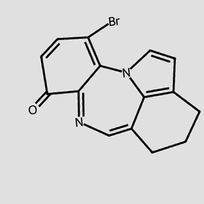 O=c1ccc(Br)c2n3ccc4c3c(cnc1-2)CCC4